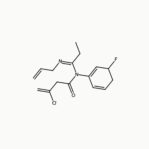 C=CC/N=C(/CC)N(C(=O)CC(=C)Cl)C1=CC(F)CC=C1